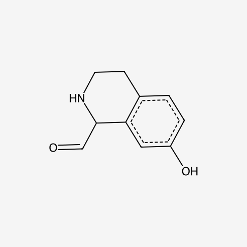 O=CC1NCCc2ccc(O)cc21